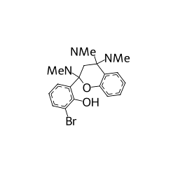 CNC1(NC)CC(NC)(c2cccc(Br)c2O)Oc2ccccc21